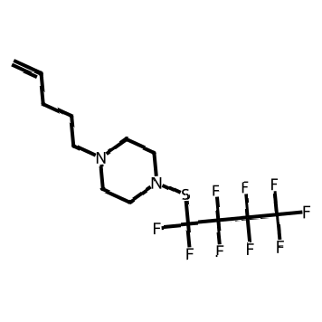 C=CCCCN1CCN(SC(F)(F)C(F)(F)C(F)(F)C(F)(F)F)CC1